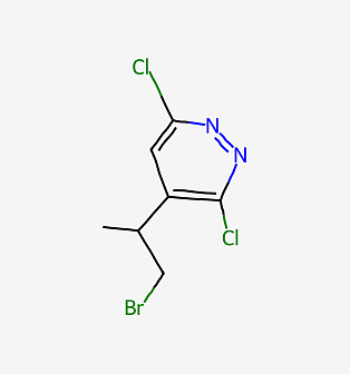 CC(CBr)c1cc(Cl)nnc1Cl